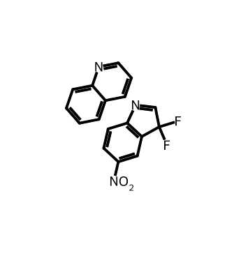 O=[N+]([O-])c1ccc2c(c1)C(F)(F)C=N2.c1ccc2ncccc2c1